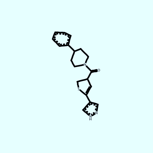 O=C(C1C=C(c2cn[nH]c2)SC1)N1CCC(c2ccccc2)CC1